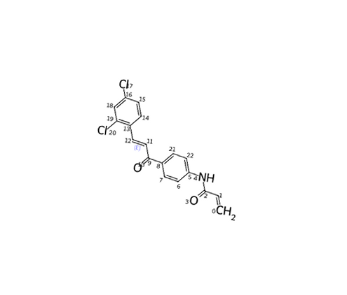 C=CC(=O)Nc1ccc(C(=O)/C=C/c2ccc(Cl)cc2Cl)cc1